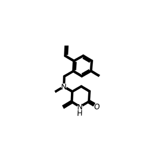 C=Cc1ccc(C)cc1CN(C)C1CCC(=O)NC1=C